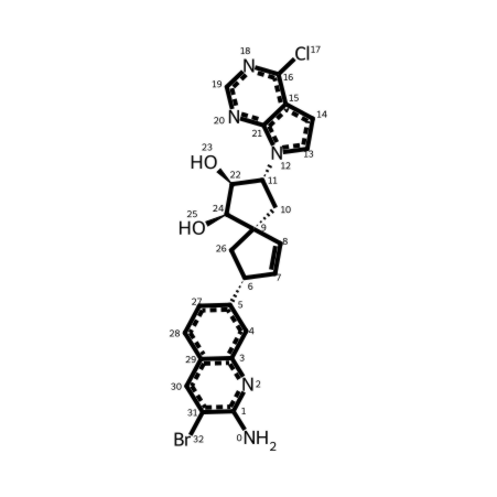 Nc1nc2cc([C@H]3C=C[C@@]4(C[C@@H](n5ccc6c(Cl)ncnc65)[C@H](O)[C@@H]4O)C3)ccc2cc1Br